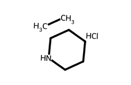 C1CCNCC1.CC.Cl